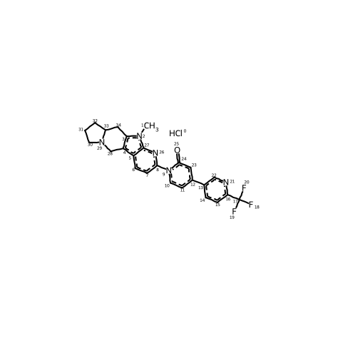 Cl.Cn1c2c(c3ccc(-n4ccc(-c5ccc(C(F)(F)F)nc5)cc4=O)nc31)CN1CCCC1C2